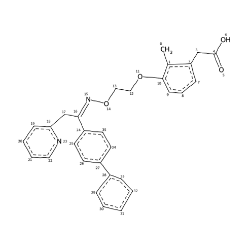 Cc1c(CC(=O)O)cccc1OCCON=C(Cc1ccccn1)c1ccc(-c2ccccc2)cc1